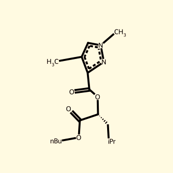 CCCCOC(=O)[C@@H](CC(C)C)OC(=O)c1nn(C)cc1C